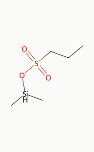 CCCS(=O)(=O)O[SiH](C)C